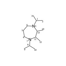 CC(C)N1CCCN(C(C)C)C(C)C1C